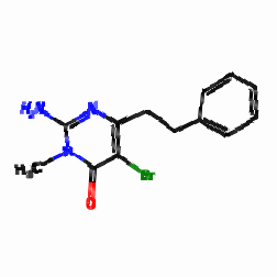 Cn1c(N)nc(CCc2ccccc2)c(Br)c1=O